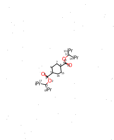 CC(C)C(OC(=O)C1CCC(C(=O)OC(C(C)C)C(C)C)CC1)C(C)C